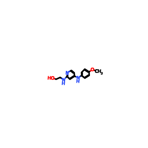 COc1ccc(Nc2ccnc(NCCO)c2)cc1